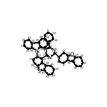 c1ccc(-c2nc(-c3ccc4c(c3)oc3ccccc34)nc(-c3c(-n4c5ccccc5c5ccccc54)ccc4sc5ccccc5c34)n2)cc1